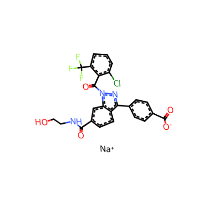 O=C([O-])c1ccc(-c2nn(C(=O)c3c(Cl)cccc3C(F)(F)F)c3cc(C(=O)NCCO)ccc23)cc1.[Na+]